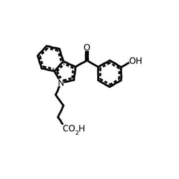 O=C(O)CCCn1cc(C(=O)c2cccc(O)c2)c2ccccc21